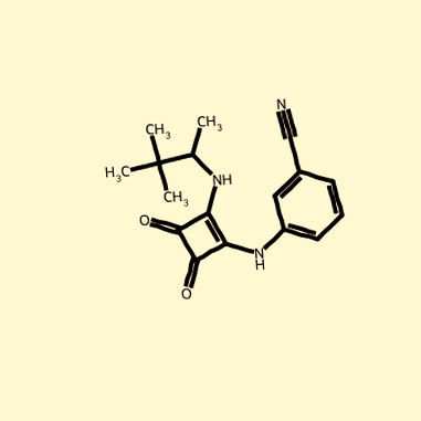 CC(Nc1c(Nc2cccc(C#N)c2)c(=O)c1=O)C(C)(C)C